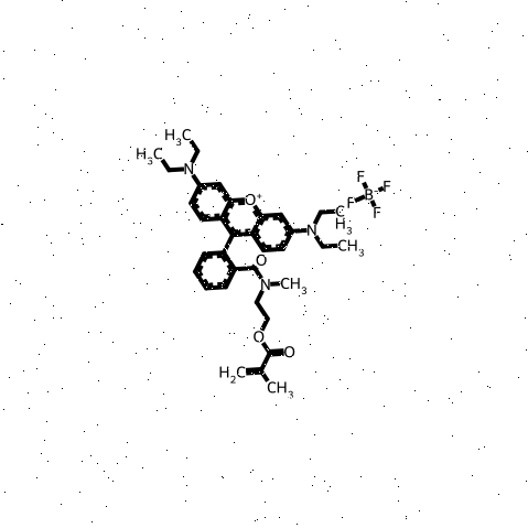 C=C(C)C(=O)OCCN(C)C(=O)c1ccccc1-c1c2ccc(N(CC)CC)cc2[o+]c2cc(N(CC)CC)ccc12.F[B-](F)(F)F